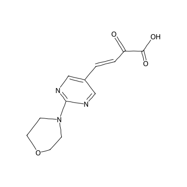 O=C(O)C(=O)C=Cc1cnc(N2CCOCC2)nc1